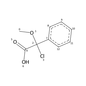 COC(Cl)(C(=O)O)c1ccccc1